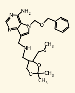 CSCC1OC(C)(C)OCC1CNCc1cn(COCc2ccccc2)c2c(N)ncnc12